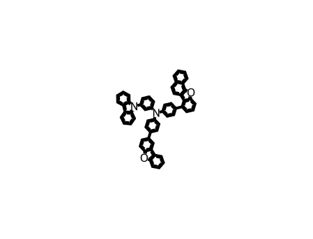 c1cc(N(c2ccc(-c3ccc4oc5ccccc5c4c3)cc2)c2ccc(-c3cccc4oc5c6ccccc6ccc5c34)cc2)cc(-n2c3ccccc3c3ccccc32)c1